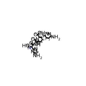 Nc1ccc(SC2=C(C(=O)O)N3C(=O)[C@@H](NC(=O)/C(=N\O)c4nsc(N)n4)[C@H]3CC2)nn1